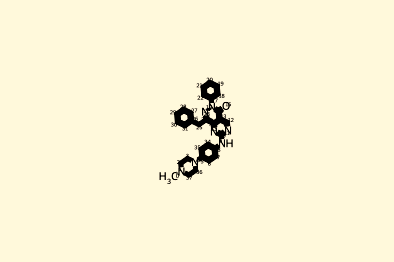 CN1CCN(c2ccc(Nc3ncc4c(=O)n(-c5ccccc5)nc(Cc5ccccc5)c4n3)cc2)CC1